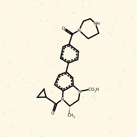 C[C@H]1CN(C(=O)O)c2cc(-c3ccc(C(=O)N4CCNCC4)cc3)ccc2N1C(=O)C1CC1